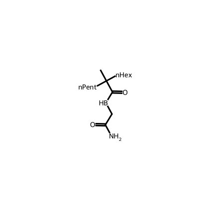 CCCCCCC(C)(CCCCC)C(=O)BCC(N)=O